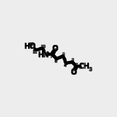 CC(=O)CCCCC(=O)NCCO